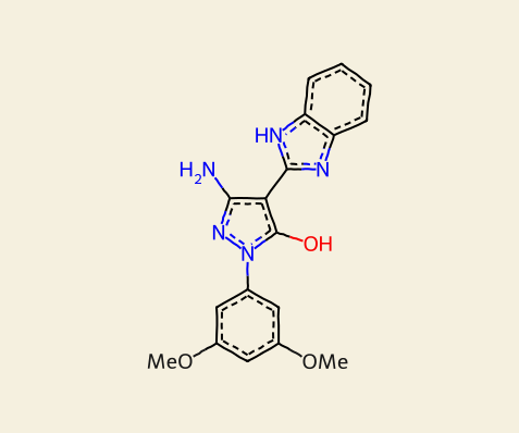 COc1cc(OC)cc(-n2nc(N)c(-c3nc4ccccc4[nH]3)c2O)c1